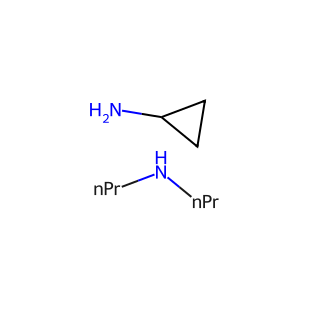 CCCNCCC.NC1CC1